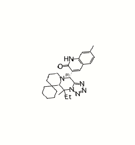 CCC1(C)C2N(CCCC23CCCCC3)[C@H](c2cc3ccc(C)cc3[nH]c2=O)c2nnnn21